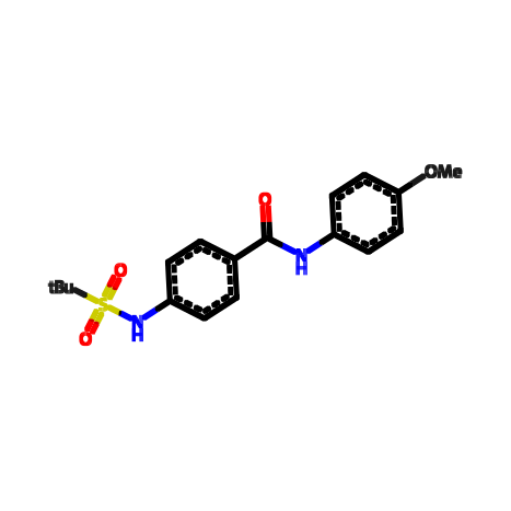 COc1ccc(NC(=O)c2ccc(NS(=O)(=O)C(C)(C)C)cc2)cc1